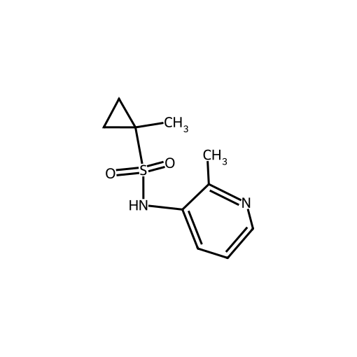 Cc1ncccc1NS(=O)(=O)C1(C)CC1